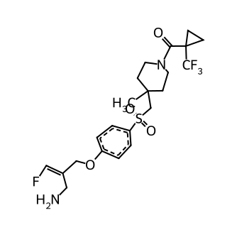 CC1(CS(=O)(=O)c2ccc(OC/C(=C/F)CN)cc2)CCN(C(=O)C2(C(F)(F)F)CC2)CC1